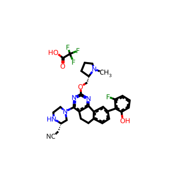 CN1CCC[C@H]1COc1nc2c(c(N3CCN[C@@H](CC#N)C3)n1)CCc1ccc(-c3c(O)cccc3F)cc1-2.O=C(O)C(F)(F)F